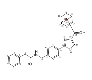 O=C(Cc1ccccc1)NCc1ccc(-c2nc(C(=O)N3CC4C=CC(CC4)C3)co2)cc1